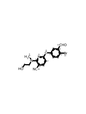 CN(CCO)c1nc(Oc2ccc(Br)c(C=O)c2)ccc1C#N